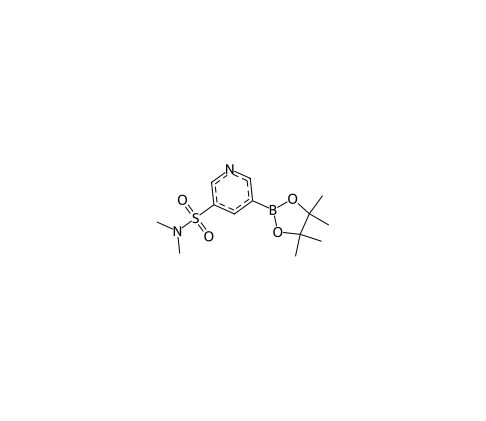 CN(C)S(=O)(=O)c1cncc(B2OC(C)(C)C(C)(C)O2)c1